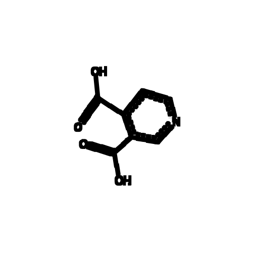 O=C(O)c1ccncc1C(=O)O